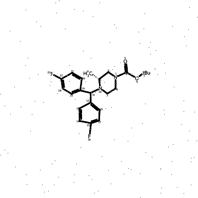 C[C@@H]1CN(C(=O)OC(C)(C)C)CCN1C(c1ccc(F)cc1)c1ccc(F)cc1